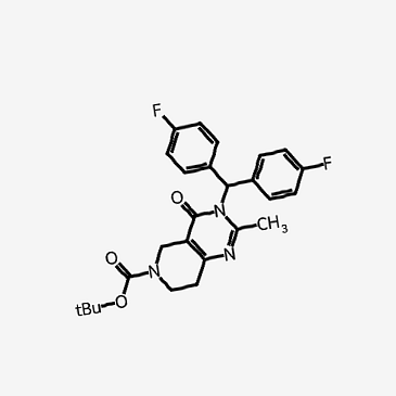 Cc1nc2c(c(=O)n1C(c1ccc(F)cc1)c1ccc(F)cc1)CN(C(=O)OC(C)(C)C)CC2